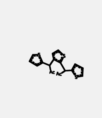 CC(=O)C(c1cccs1)c1ccsc1C(C(C)=O)c1cccs1